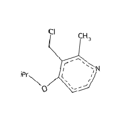 Cc1nccc(OC(C)C)c1CCl